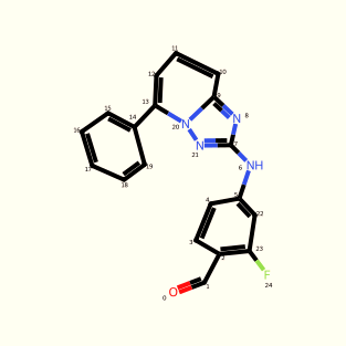 O=Cc1ccc(Nc2nc3cccc(-c4ccccc4)n3n2)cc1F